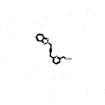 O=CCc1cccc(CC#CCn2nc3ccccc3n2)n1